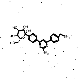 NCc1ccc(-c2cc(-c3ccc([C@@]4(O)O[C@H](CO)[C@@H](O)[C@@H](O)[C@H]4O)cc3)nc(N)n2)cc1